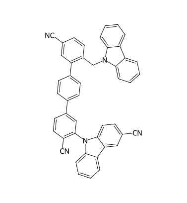 N#Cc1ccc(Cn2c3ccccc3c3ccccc32)c(-c2ccc(-c3ccc(C#N)c(-n4c5ccccc5c5cc(C#N)ccc54)c3)cc2)c1